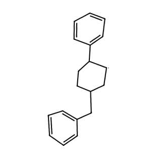 [CH]1CC(Cc2ccccc2)CCC1c1ccccc1